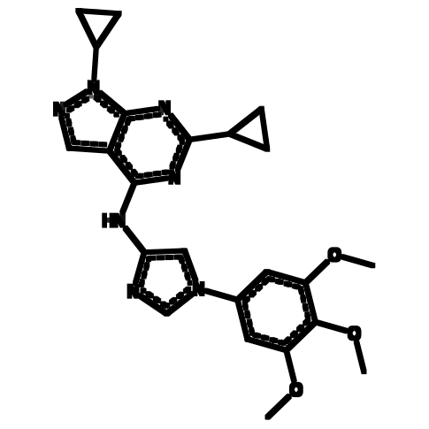 COc1cc(-n2cnc(Nc3nc(C4CC4)nc4c3cnn4C3CC3)c2)cc(OC)c1OC